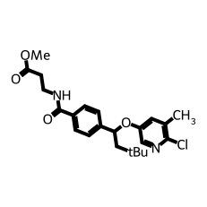 COC(=O)CCNC(=O)c1ccc(C(CC(C)(C)C)Oc2cnc(Cl)c(C)c2)cc1